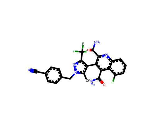 Cc1c(-c2c(C(N)=O)nc3cccc(F)c3c2C(N)=O)c(C(F)(F)F)nn1Cc1ccc(C#N)cc1